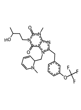 CC(O)CCn1c(=O)c2c(nc(Cc3cccc(OC(F)(F)F)c3)n2CC2C=CC=CN2C)n(C)c1=O